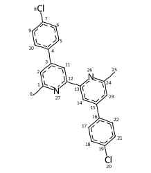 Cc1cc(-c2ccc(Cl)cc2)cc(-c2cc(-c3ccc(Cl)cc3)cc(C)n2)n1